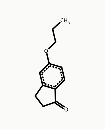 CCCOc1ccc2c(c1)CCC2=O